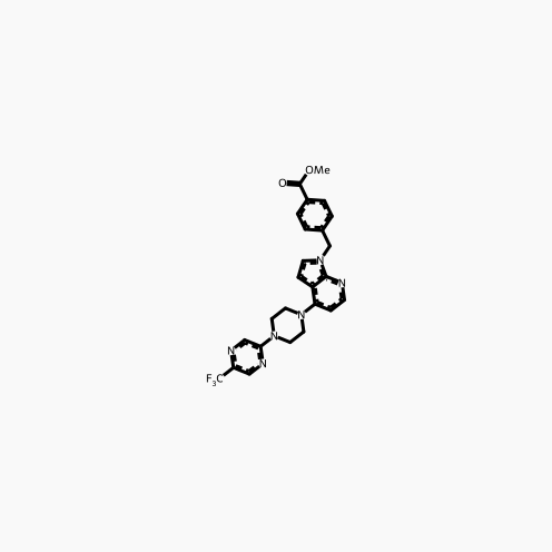 COC(=O)c1ccc(Cn2ccc3c(N4CCN(c5cnc(C(F)(F)F)cn5)CC4)ccnc32)cc1